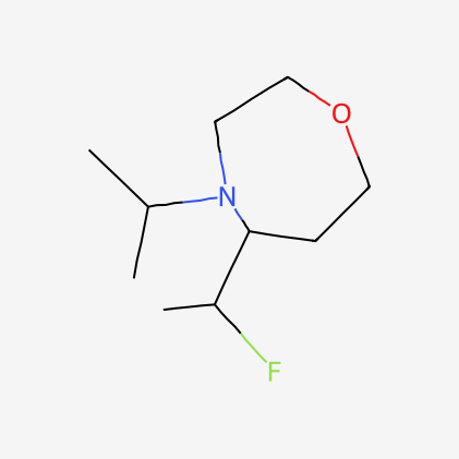 CC(F)C1CCOCCN1C(C)C